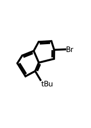 CC(C)(C)c1cccc2ccc(Br)cc12